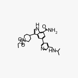 CCS(=O)(=O)N1CCC(c2c[nH]c3c(C(N)=O)cc(-c4cncc(CNC(C)C)c4)cc23)CC1